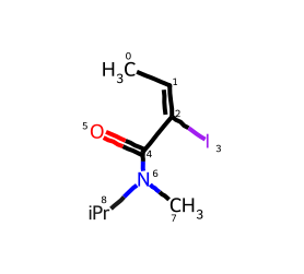 C/C=C(/I)C(=O)N(C)C(C)C